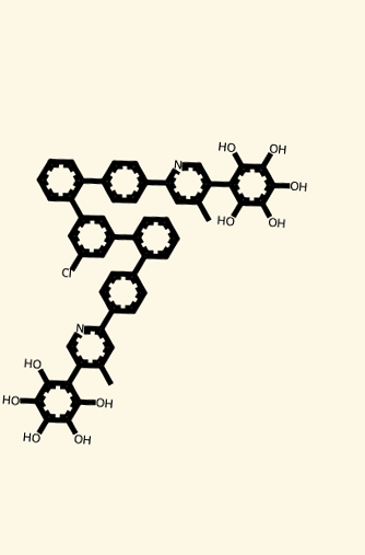 Cc1cc(-c2ccc(-c3ccccc3-c3cc(Cl)cc(-c4ccccc4-c4ccc(-c5cc(C)c(-c6c(O)c(O)c(O)c(O)c6O)cn5)cc4)c3)cc2)ncc1-c1c(O)c(O)c(O)c(O)c1O